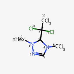 CCCCCCN1N=CN(C(Cl)(Cl)Cl)C1C(Cl)(Cl)C(Cl)(Cl)Cl